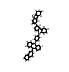 c1ccc2cc(-c3c4ccccc4c(-c4ccc(-n5c6ccccc6c6cc(-c7ccc8oc9ccccc9c8c7)ccc65)cc4)c4ccccc34)ccc2c1